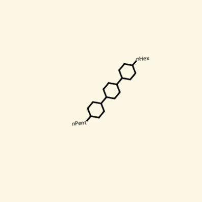 CCCCCCC1CCC(C2CCC(C3CCC(CCCCC)CC3)CC2)CC1